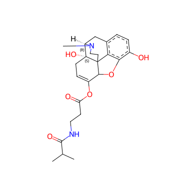 CC(C)C(=O)NCCC(=O)OC1=CC[C@@]2(O)[C@H]3Cc4ccc(O)c5c4C2(CCN3C)C1O5